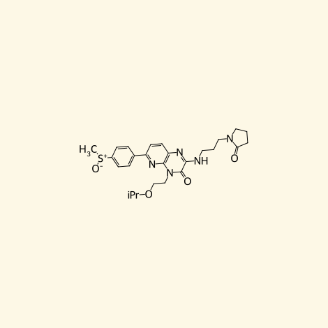 CC(C)OCCn1c(=O)c(NCCCN2CCCC2=O)nc2ccc(-c3ccc([S+](C)[O-])cc3)nc21